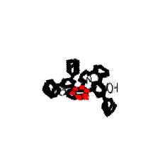 Oc1c(-c2ccccc2-c2cccc(-c3ccccc3-c3cc(C45CC6CC(CC(C6)C4)C5)cc(C45CC6CC(CC(C6)C4)C5)c3O)n2)cc(C23CC4CC(CC(C4)C2)C3)cc1C12CC3CC(CC(C3)C1)C2